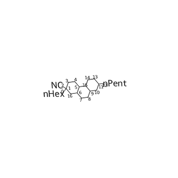 CCCCCCC1(C#N)CCC2C(CCC3CC(CCCCC)CCC32)C1